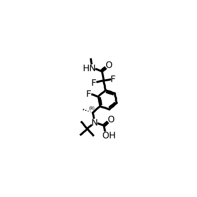 CNC(=O)C(F)(F)c1cccc([C@@H](C)N(C(=O)O)C(C)(C)C)c1F